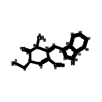 COC1=N[C@@H](CC(C)C)C(=O)N(C)C1=Cc1c[nH]c2ccccc12